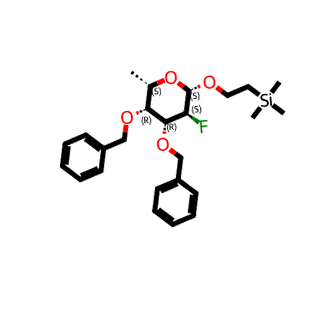 C[C@@H]1O[C@H](OCC[Si](C)(C)C)[C@@H](F)[C@H](OCc2ccccc2)[C@@H]1OCc1ccccc1